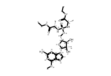 CCOC(=O)[C@H](C)NP(=O)(N[C@@H](C)C(=O)OCC)OC[C@H]1O[C@@H](n2cnc3c(OC)nc(N)nc32)[C@](C)(O)[C@@H]1O